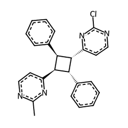 Cc1nccc([C@H]2[C@@H](c3ccccc3)[C@H](c3ccnc(Cl)n3)[C@@H]2c2ccccc2)n1